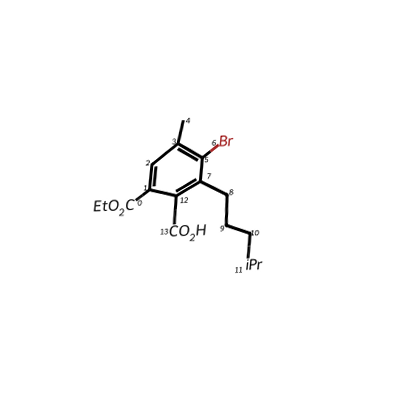 CCOC(=O)c1cc(C)c(Br)c(CCCC(C)C)c1C(=O)O